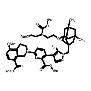 COCCN(CCOC12CC3(C)CC(C)(CC(Cn4ncc(-c5ccc(N6CCc7c(OC)ccc(C(=O)OC)c7C6)nc5C(=O)OC(C)(C)C)c4C)(C3)C1)C2)C(=O)OC(C)(C)C